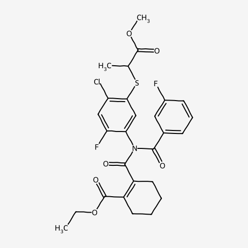 CCOC(=O)C1=C(C(=O)N(C(=O)c2cccc(F)c2)c2cc(SC(C)C(=O)OC)c(Cl)cc2F)CCCC1